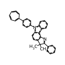 CC1(C)C(c2ccccc2)=Nc2c1ccc1c2c2ccccc2n1-c1ccc(C2=CC=CC=C=C2)cc1